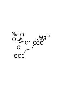 O=C([O-])CCC(=O)[O-].O=S(=O)([O-])[O-].[Mg+2].[Na+].[Na+]